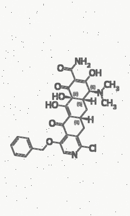 CN(C)[C@@H]1C(O)=C(C(N)=O)C(=O)[C@@]2(O)C(O)=C3C(=O)c4c(OCc5ccccc5)cnc(Cl)c4C[C@H]3C[C@@H]12